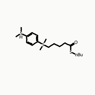 CCCCSC(=O)CCCCS(C)(C)c1ccc([SH](C)C)cc1